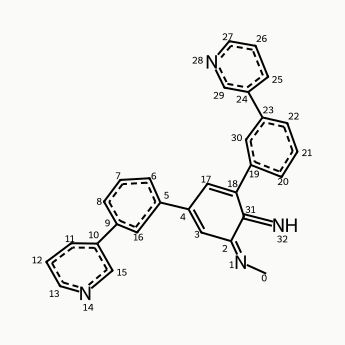 C/N=C1/C=C(c2cccc(-c3cccnc3)c2)C=C(c2cccc(-c3cccnc3)c2)C1=N